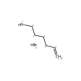 Br.C=CCCCCCCC